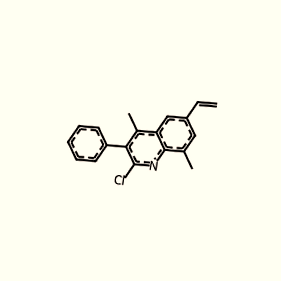 C=Cc1cc(C)c2nc(Cl)c(-c3ccccc3)c(C)c2c1